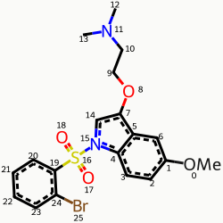 COc1ccc2c(c1)c(OCCN(C)C)cn2S(=O)(=O)c1ccccc1Br